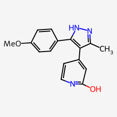 COc1ccc(-c2[nH]nc(C)c2-c2ccnc(O)c2)cc1